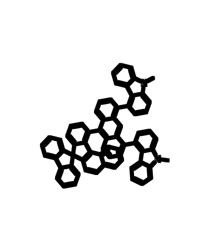 Cn1c2ccccc2c2c(-c3cccc4c(-c5cccc6c5-c5c(ccc7ccccc57)C65c6ccccc6-c6ccccc65)c5cccc(-c6cccc7c6c6ccccc6n7C)c5cc34)cccc21